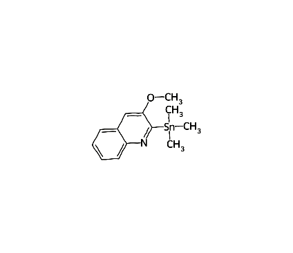 COc1cc2ccccc2n[c]1[Sn]([CH3])([CH3])[CH3]